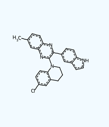 Cc1ccc2nc(-c3ccc4[nH]ccc4c3)c(N3CCCc4cc(Cl)ccc43)nc2c1